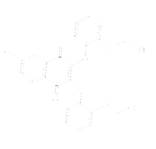 CCOc1ccccc1OC1=C(Oc2ccccc2OCC)C(=O)c2cc(Cl)ccc2C1=O